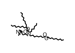 CCCCCCCCCOC(=O)CCCCCCCN(CCCn1ccnc1C)C(CCCCCC)C(=O)OC(CCCCCCCC)CCCCCCCC